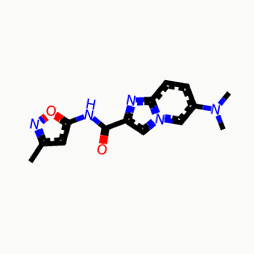 Cc1cc(NC(=O)c2cn3cc(N(C)C)ccc3n2)on1